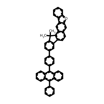 CC1(C)c2ccc(-c3ccc(-c4c5ccccc5c(-c5ccccc5)c5ccccc45)cc3)cc2-c2ccc3cc4oc5ccccc5c4cc3c21